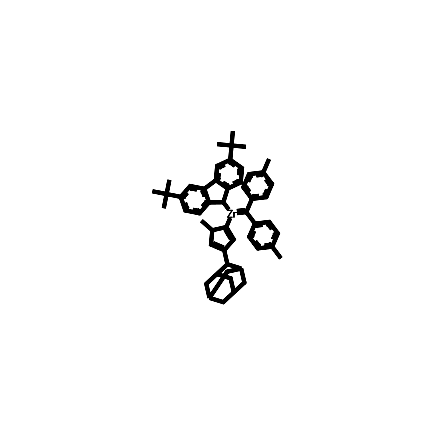 Cc1ccc([C](c2ccc(C)cc2)=[Zr]([C]2=CC(C3C4CC5CC(C4)CC3C5)=CC2C)[CH]2c3ccc(C(C)(C)C)cc3-c3cc(C(C)(C)C)ccc32)cc1